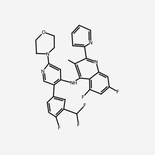 Cc1c(-c2ccccn2)nc2cc(F)cc(F)c2c1Nc1cc(N2CCOCC2)ncc1-c1ccc(F)c(C(F)F)c1